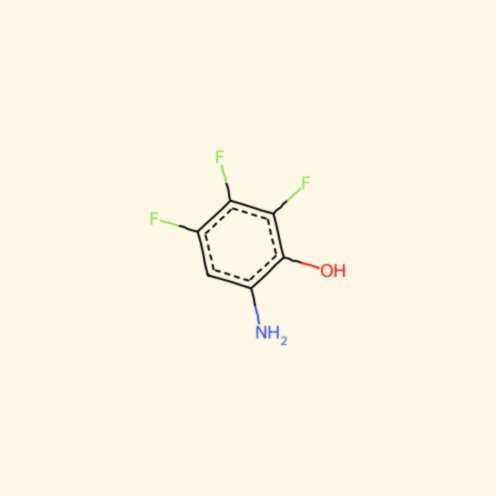 Nc1cc(F)c(F)c(F)c1O